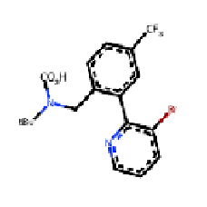 CC(C)(C)N(Cc1ccc(C(F)(F)F)cc1-c1ncccc1Br)C(=O)O